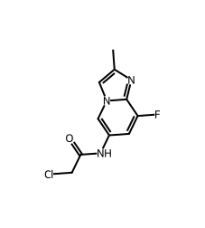 Cc1cn2cc(NC(=O)CCl)cc(F)c2n1